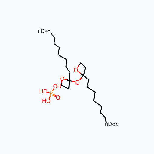 CCCCCCCCCCCCCCCCCC1(OC2(CCCCCCCCCCCCCCCCC)CCO2)CCO1.O=P(O)(O)O